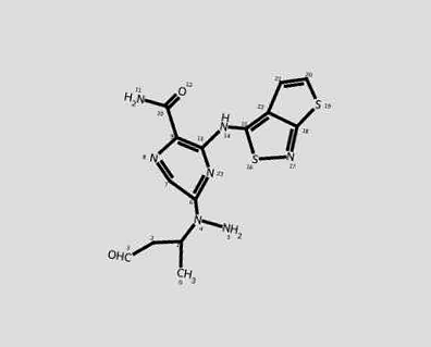 CC(CC=O)N(N)c1cnc(C(N)=O)c(Nc2snc3sccc23)n1